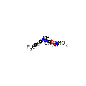 C[C@@H]1CN(c2ccc(OC[C@H]3CCn4cc([N+](=O)[O-])nc4O3)cc2)[C@@H](C)CN1Cc1ccc(OCc2ccc(C(F)(F)F)cc2)cc1